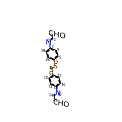 O=CC=Nc1ccc(SSc2ccc(N=CC=O)cc2)cc1